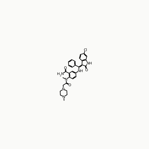 CN1CCN(CC(=O)N(C)c2ccc(N/C(=C3\C(=O)Nc4cc(Cl)ccc43)c3ccccc3)cc2C(N)=O)CC1